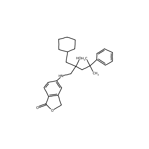 CC(C)(CC(O)(CNc1ccc2c(c1)COC2=O)CC1CCCCC1)c1ccccc1